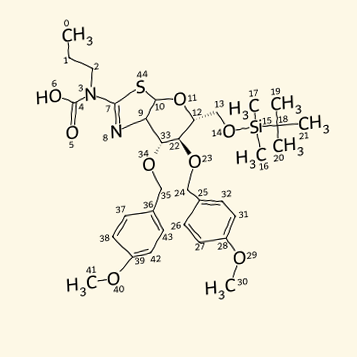 CCCN(C(=O)O)C1=NC2C(O[C@H](CO[Si](C)(C)C(C)(C)C)[C@@H](OCc3ccc(OC)cc3)[C@@H]2OCc2ccc(OC)cc2)S1